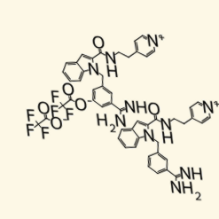 C[n+]1ccc(CCNC(=O)c2cc3ccccc3n2Cc2cccc(C(=N)N)c2)cc1.C[n+]1ccc(CCNC(=O)c2cc3ccccc3n2Cc2cccc(C(=N)N)c2)cc1.O=C([O-])C(F)(F)F.O=C([O-])C(F)(F)F